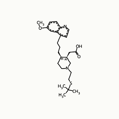 COc1ccc2nccc(CCC[C@@H]3CCN(CCSC(C)(C)C)C[C@@H]3CC(=O)O)c2c1